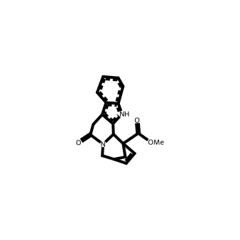 COC(=O)C12C=CC(CN3C(=O)Cc4c([nH]c5ccccc45)C31)C2